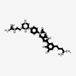 C[C@H](N)CCCc1cc(Cl)c(F)c(-c2cc3cn(-c4ccc([C@@H]5CNC[C@H](CCNC(=N)N)N5)cc4)c(=O)nc3[nH]2)c1